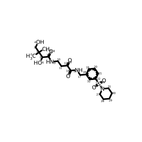 CC(C)(CO)C(O)C(=O)NCCC(=O)C(=O)NCc1cccc(S(=O)(=O)N2CCCCC2)c1